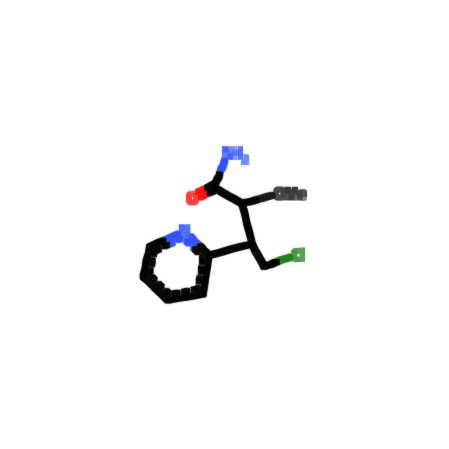 COC(C(N)=O)C(CCl)c1ccccn1